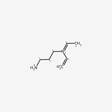 C=C/[N+](=C\C)CCCN